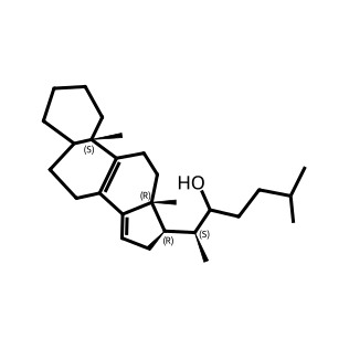 CC(C)CCC(O)[C@@H](C)[C@H]1CC=C2C3=C(CC[C@@]21C)[C@@]1(C)CCCCC1CC3